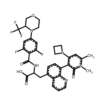 Cc1cc(N2CCC2)c(-c2ccc(CC(NC(=O)c3c(F)cc(N4CCOCC4C(F)(F)F)cc3F)C(=O)O)c3cccnc23)c(=O)n1C